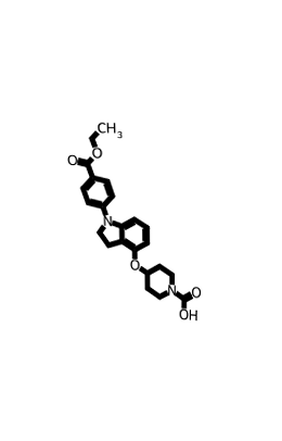 CCOC(=O)c1ccc(N2CCc3c(OC4CCN(C(=O)O)CC4)cccc32)cc1